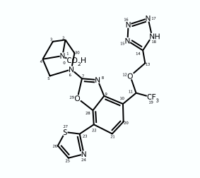 O=C(O)N1C2CC1CN(c1nc3c(C(OCc4nnn[nH]4)C(F)(F)F)ccc(-c4nccs4)c3o1)C2